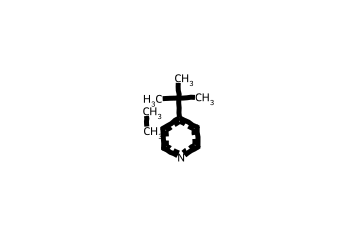 CC.CC(C)(C)c1ccncc1